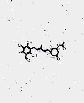 CC(=O)O[C@H]1CC(=O)[C@H](C)[C@@](C)(/C=C/C(C)=C/Cc2c(O)c(Cl)c(C)c(C=O)c2O)[C@@H]1C